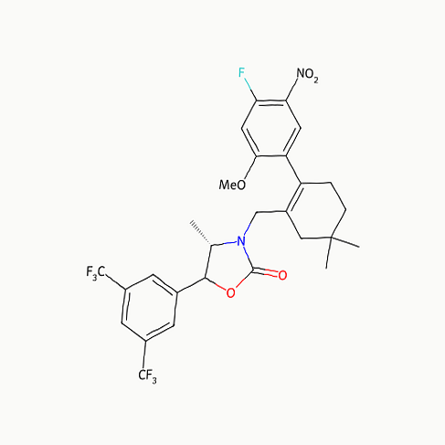 COc1cc(F)c([N+](=O)[O-])cc1C1=C(CN2C(=O)OC(c3cc(C(F)(F)F)cc(C(F)(F)F)c3)[C@@H]2C)CC(C)(C)CC1